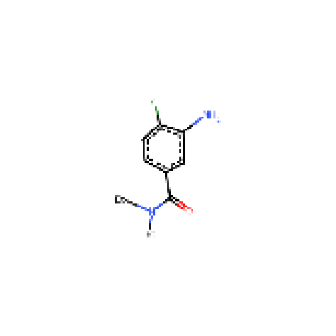 CCN(CC)C(=O)c1ccc(Cl)c(N)c1